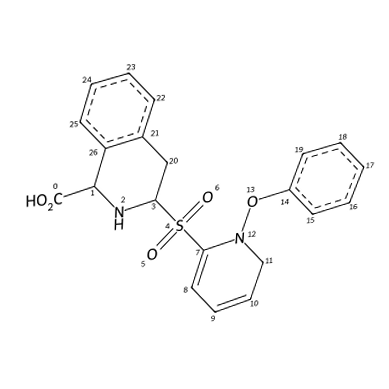 O=C(O)C1NC(S(=O)(=O)C2=CC=CCN2Oc2ccccc2)Cc2ccccc21